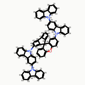 c1ccc2c(c1)Oc1ccc(-n3c4ccccc4c4cc(-n5c6ccccc6c6ccccc65)ccc43)cc1C21c2ccccc2-c2ccc(-n3c4ccccc4c4cc(-n5c6ccccc6c6ccccc65)ccc43)cc21